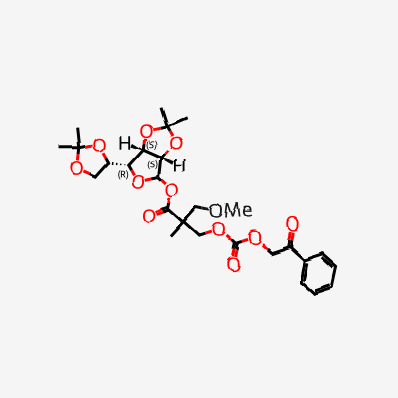 COCC(C)(COC(=O)OCC(=O)c1ccccc1)C(=O)OC1O[C@H](C2COC(C)(C)O2)[C@@H]2OC(C)(C)O[C@H]12